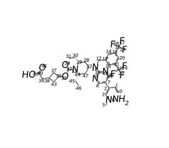 C=C/C(=C\N(C)N)c1cnc(N(Cc2cc(C(F)(F)F)cc(C(F)(F)F)c2)[C@H]2C[C@@H](CC)N(C(=O)OC3CC(CC(=O)O)C3)[C@@H](CC)C2)nc1